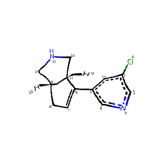 Clc1cncc(C2=CC[C@@H]3CNC[C@H]23)c1